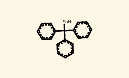 [SnH][C](c1ccccc1)(c1ccccc1)c1ccccc1